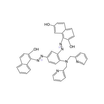 Oc1ccc2ccc(O)c(/N=N/c3cc(/N=N/c4c(O)ccc5ccccc45)ccc3N(Cc3ccccn3)Cc3ccccn3)c2c1